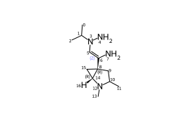 CC(C)N(N)/C=C(\N)[C@@]12CC(C)N(C)[C@@H]1C2